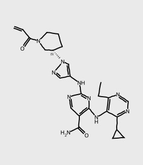 C=CC(=O)N1CCC[C@H](n2cc(Nc3ncc(C(N)=O)c(Nc4c(CC)ncnc4C4CC4)n3)cn2)C1